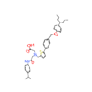 CCCC(CCC)c1ccc(OCc2ccc(-c3ccc(CN(CC(=O)O)CC(=O)Nc4ccc(C(C)C)cc4)s3)cc2)cc1